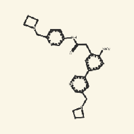 CNc1ccc(-c2cncc(CN3CCC3)c2)cc1CC(=O)Nc1ccc(CN2CCC2)nc1